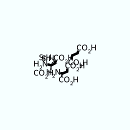 N[C@@H](CC(=O)O)C(=O)O.N[C@@H](CC(=O)O)C(=O)O.O=C(O)CCC(=O)O.[SrH2].[SrH2]